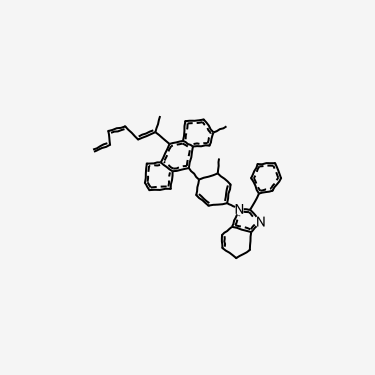 C=C/C=C\C=C(/C)c1c2ccccc2c(C2C=CC(n3c(-c4ccccc4)nc4c3C=CCC4)=CC2C)c2cc(C)ccc12